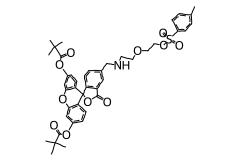 Cc1ccc(S(=O)(=O)OCCOCCNCc2ccc3c(c2)C(=O)OC32c3ccc(OC(=O)C(C)(C)C)cc3Oc3cc(OC(=O)C(C)(C)C)ccc32)cc1